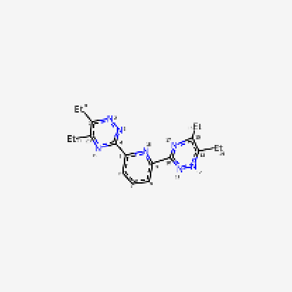 CCc1nnc(-c2cccc(-c3nnc(CC)c(CC)n3)n2)nc1CC